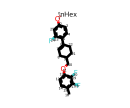 CCCCCCOc1ccc(C2=CCC(COc3ccc(C)c(F)c3F)CC2)c(F)c1